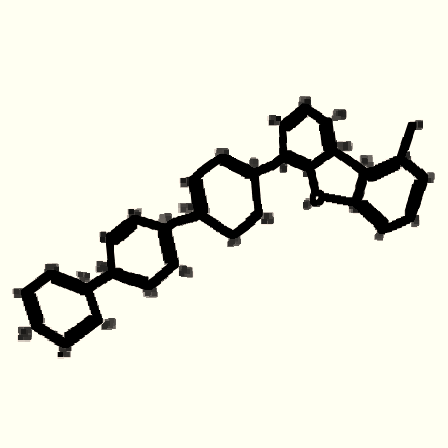 Cc1cccc2oc3c(C4=CC=C(c5ccc(-c6ccccc6)cc5)CC4)cccc3c12